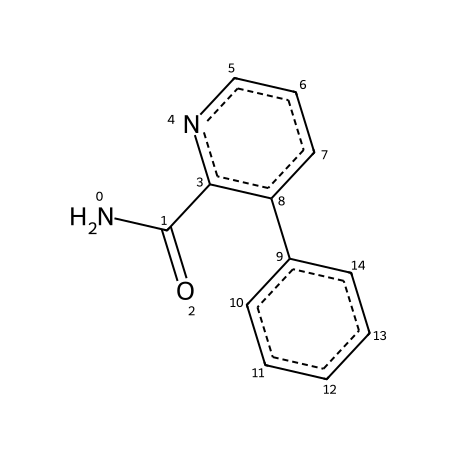 NC(=O)c1ncccc1-c1ccccc1